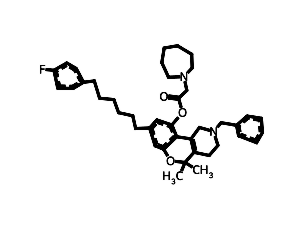 CC1(C)Oc2cc(CCCCCCc3ccc(F)cc3)cc(OC(=O)CN3CCCCCC3)c2C2=C1CCN(Cc1ccccc1)C2